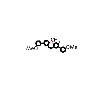 COc1cccc(-c2ccc3c(c2)C=Cc2cc(-c4cccc(OC)c4)ccc2B3C)c1